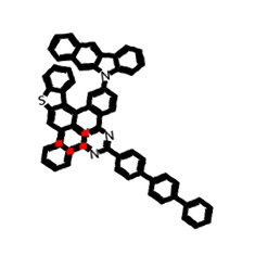 c1ccc(-c2ccc(-c3ccc(-c4nc(-c5ccccc5)nc(-c5ccc(-n6c7ccccc7c7cc8ccccc8cc76)cc5-c5c6ccccc6cc6sc7ccccc7c56)n4)cc3)cc2)cc1